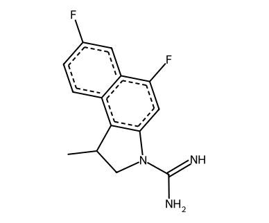 CC1CN(C(=N)N)c2cc(F)c3cc(F)ccc3c21